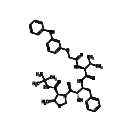 C=C1SCN(C(=O)[C@@H](O)[C@H](Cc2ccccc2)NC(=O)[C@@H](NC(=O)COc2cccc(Nc3ccccc3)c2)C(C)C)[C@@H]1C(=O)NC(C)(C)C